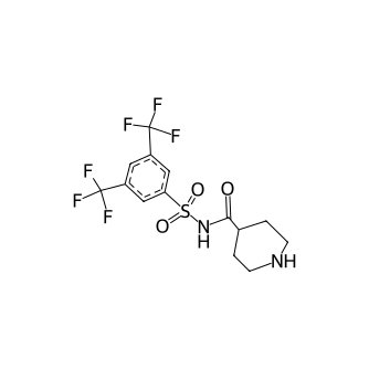 O=C(NS(=O)(=O)c1cc(C(F)(F)F)cc(C(F)(F)F)c1)C1CCNCC1